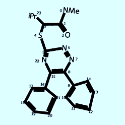 CNC(=O)C(Sc1nnc(-c2ccccc2)c(-c2ccccc2)n1)C(C)C